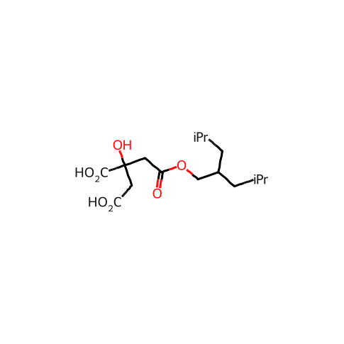 CC(C)CC(COC(=O)CC(O)(CC(=O)O)C(=O)O)CC(C)C